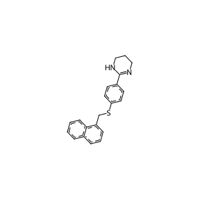 c1ccc2c(CSc3ccc(C4=NCCCN4)cc3)cccc2c1